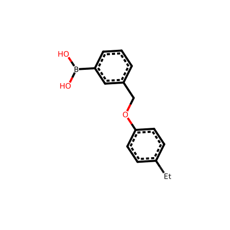 CCc1ccc(OCc2cccc(B(O)O)c2)cc1